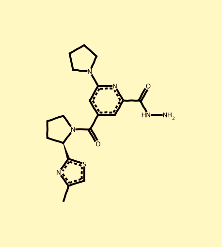 Cc1csc([C@H]2CCCN2C(=O)c2cc(C(=O)NN)nc(N3CCCC3)c2)n1